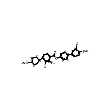 COc1ccc(-c2ccc(OC(=O)c3ccc(C4CCC(OC)CC4)c(F)c3F)cc2)cc1F